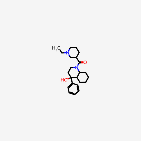 CCN1CCCC(C(=O)N2CCC(O)(c3ccccc3)C3CCCCC32)C1